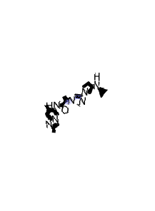 C=N/C(=C\N=C(/C)C(=O)Nc1cn2cc(C)nc2cc1C)N1CCC(NC2CC2)C1